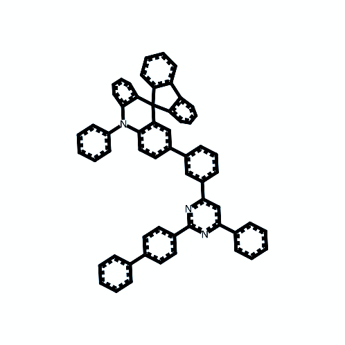 c1ccc(-c2ccc(-c3nc(-c4ccccc4)cc(-c4cccc(-c5ccc6c(c5)C5(c7ccccc7-c7ccccc75)c5ccccc5N6c5ccccc5)c4)n3)cc2)cc1